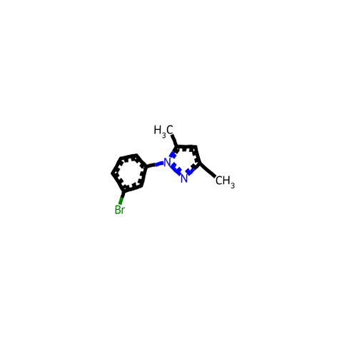 Cc1cc(C)n(-c2cccc(Br)c2)n1